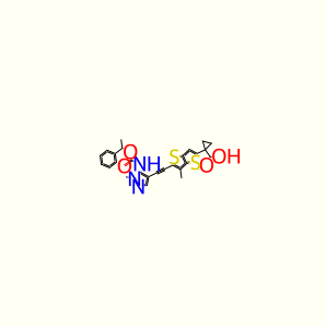 Cc1c(C#Cc2cnn(C)c2NC(=O)OC(C)c2ccccc2)sc2cc(C3(C(=O)O)CC3)sc12